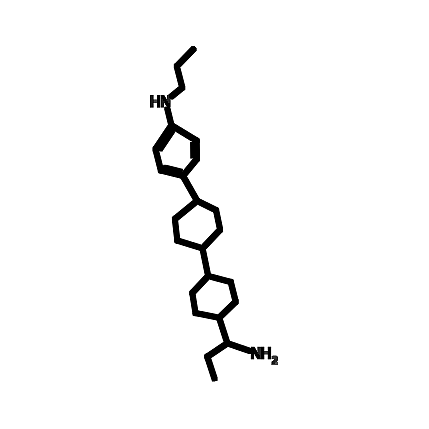 CCCNc1ccc(C2CCC(C3CCC(C(N)CC)CC3)CC2)cc1